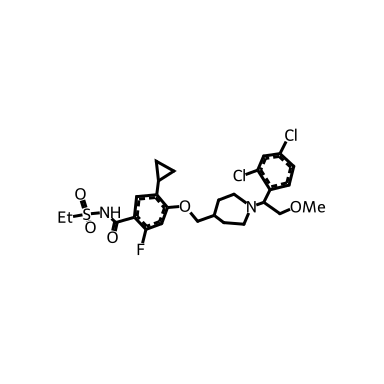 CCS(=O)(=O)NC(=O)c1cc(C2CC2)c(OCC2CCN(C(COC)c3ccc(Cl)cc3Cl)CC2)cc1F